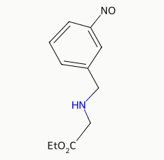 CCOC(=O)CNCc1cccc(N=O)c1